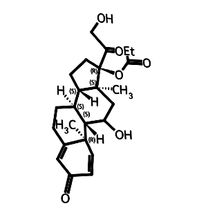 CCC(=O)O[C@]1(C(=O)CO)CC[C@H]2[C@@H]3CCC4=CC(=O)C=C[C@]4(C)[C@H]3C(O)C[C@@]21C